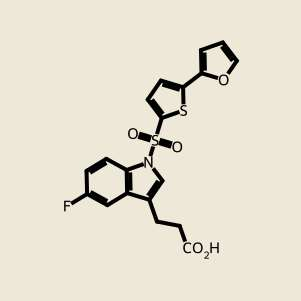 O=C(O)CCc1cn(S(=O)(=O)c2ccc(-c3ccco3)s2)c2ccc(F)cc12